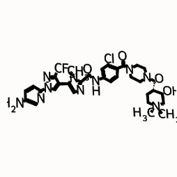 Cn1c(-c2cn(-c3ccc(N)cn3)nc2C(F)(F)F)cnc1C(=O)Nc1ccc(C(=O)N2CCN(C(=O)[C@H]3CC[N+](C)(C)C[C@H]3O)CC2)c(Cl)c1